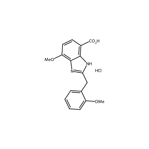 COc1ccccc1Cc1nc2c(OC)ccc(C(=O)O)c2[nH]1.Cl